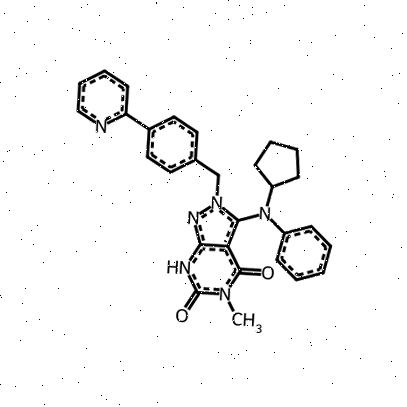 Cn1c(=O)[nH]c2nn(Cc3ccc(-c4ccccn4)cc3)c(N(c3ccccc3)C3CCCC3)c2c1=O